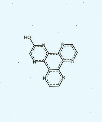 Oc1cnc2c3nccnc3c3nccnc3c2n1